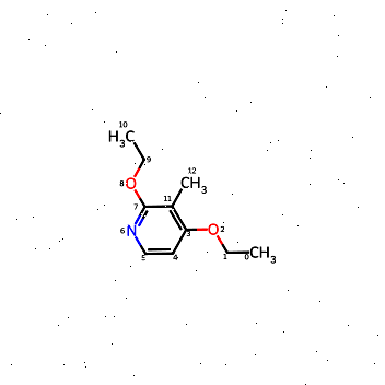 CCOc1ccnc(OCC)c1C